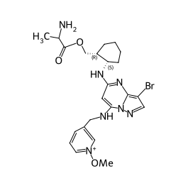 CO[n+]1cccc(CNc2cc(N[C@H]3CCCC[C@H]3COC(=O)C(C)N)nc3c(Br)cnn23)c1